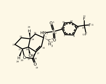 C[C@]1(NS(=O)(=O)c2ccc(C(F)(F)F)cc2)C=C2C(=O)O[C@@H]3CC[C@H](C1)[C@]23O